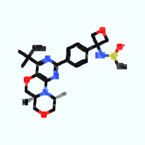 CSC(C)(C)c1nc(-c2ccc(C3(N[S+]([O-])C(C)(C)C)COC3)cc2)nc2c1OC[C@@H]1COC[C@@H](C)N21